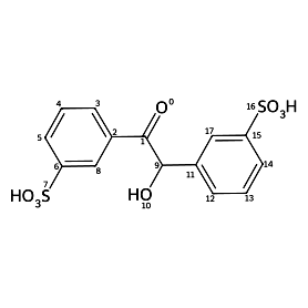 O=C(c1cccc(S(=O)(=O)O)c1)C(O)c1cccc(S(=O)(=O)O)c1